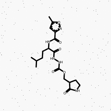 Cc1cc(C(=O)NC(CCC(C)C)C(=O)NNC(=O)OCC2CCNC2=O)no1